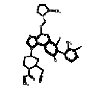 C=CC(=O)N1CCC(n2cnc3c(OC[C@@H]4CCCN4C)nc4c(F)c(-c5cccc(F)c5C)c(Cl)cc4c32)CC1CC#N